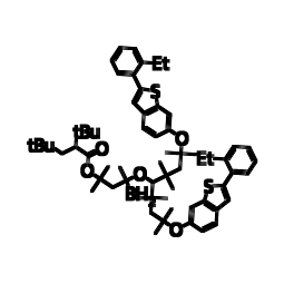 BC(C)(CC(C)(C)OC(=O)C(CC(C)(C)C)C(C)(C)C)OC(C(C)(C)CC(C)(C)Oc1ccc2cc(-c3ccccc3CC)sc2c1)C(C)(C)CC(C)(C)Oc1ccc2cc(-c3ccccc3CC)sc2c1